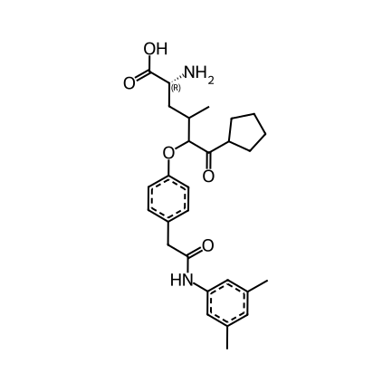 Cc1cc(C)cc(NC(=O)Cc2ccc(OC(C(=O)C3CCCC3)C(C)C[C@@H](N)C(=O)O)cc2)c1